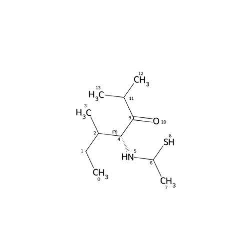 CCC(C)[C@@H](NC(C)S)C(=O)C(C)C